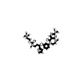 CN(CCC(Oc1cccc(N2CCN(C)c3nc(N(C)C)ncc3C2=O)c1)c1cccs1)C(=O)OCCS(C)(C)C